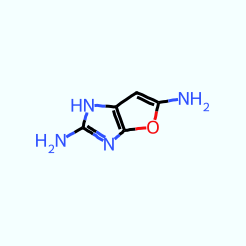 Nc1nc2oc(N)cc2[nH]1